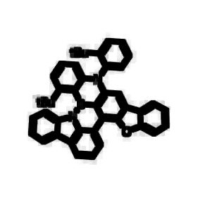 CC(C)(C)c1ccccc1N1c2cccc(C(C)(C)C)c2B2c3c1cc1c(oc4ccccc41)c3-c1cccc3c4ccccc4n2c13